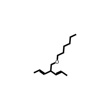 CC=CC(C=CC)COCCCCCC